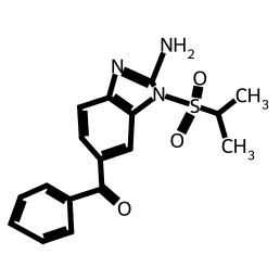 CC(C)S(=O)(=O)n1c(N)nc2ccc(C(=O)c3ccccc3)cc21